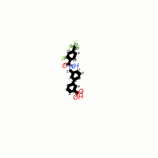 O=C(O)c1cccc(-c2cccc(CNC(=O)c3ccc(C(F)(F)F)cc3F)c2)c1